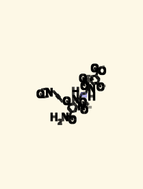 COC(=O)c1cc(OC)c(NC/C=C/CNc2c(OCC#CCN3CCOCC3)cc(C(N)=O)cc2[N+](=O)[O-])c([N+](=O)[O-])c1